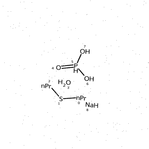 CCCSCCC.O.O=[PH](O)O.[NaH]